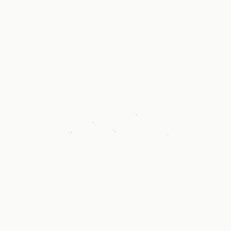 COc1ccccc1NC(=O)Nc1ncc(Br)s1